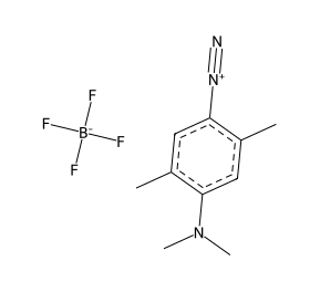 Cc1cc(N(C)C)c(C)cc1[N+]#N.F[B-](F)(F)F